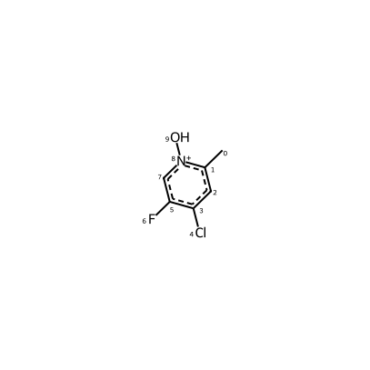 Cc1cc(Cl)c(F)c[n+]1O